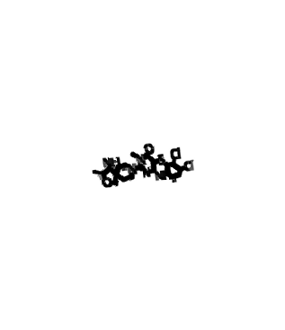 C[C@@H]1OCC2(CCN(c3nc(N)c(Sc4cccc(Cl)c4Cl)c(=O)n3C)CC2)[C@@H]1N